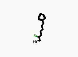 [CH]=CC(F)CCCCCc1ccccc1